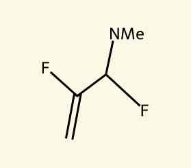 C=C(F)C(F)NC